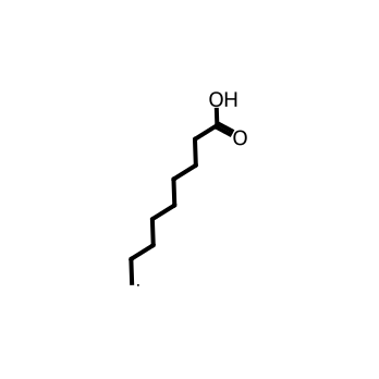 [CH2]CCCCCCCC(=O)O